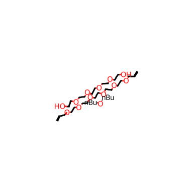 C=CCOCCOCCOCCOCCOCCOCC=C.CCCCOCCCC.OCCOCCOCCOCCOCCO